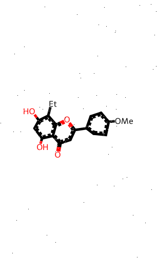 CCc1c(O)cc(O)c2c(=O)cc(-c3ccc(OC)cc3)oc12